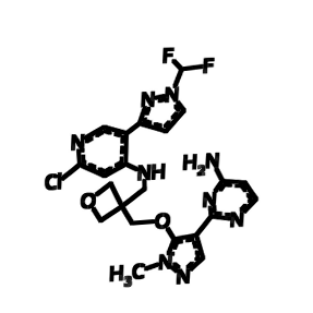 Cn1ncc(-c2nccc(N)n2)c1OCC1(CNc2cc(Cl)ncc2-c2ccn(C(F)F)n2)COC1